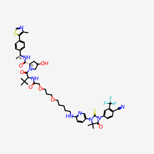 Cc1ncsc1-c1ccc([C@H](C)NC(=O)[C@@H]2C[C@@H](O)CN2C(=O)C(NC(=O)COCCCOCCCCCNc2ccc(N3C(=S)N(c4ccc(C#N)c(C(F)(F)F)c4)C(=O)C3(C)C)cn2)C(C)(C)C)cc1